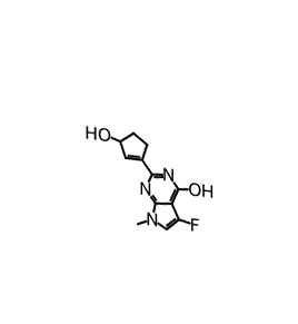 Cn1cc(F)c2c(O)nc(C3=CC(O)CC3)nc21